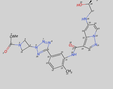 COC(=O)N1CC(n2nnc(-c3ccc(C)c(NC(=O)c4cnn5ccc(NC[C@H](C)O)cc45)c3)n2)C1